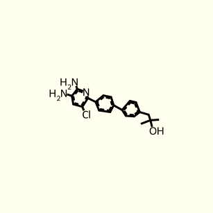 CC(C)(O)Cc1ccc(-c2ccc(-c3nc(N)c(N)cc3Cl)cc2)cc1